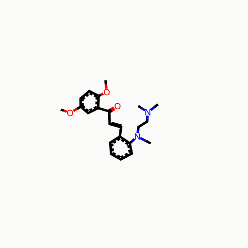 COc1ccc(OC)c(C(=O)C=Cc2ccccc2N(C)CCN(C)C)c1